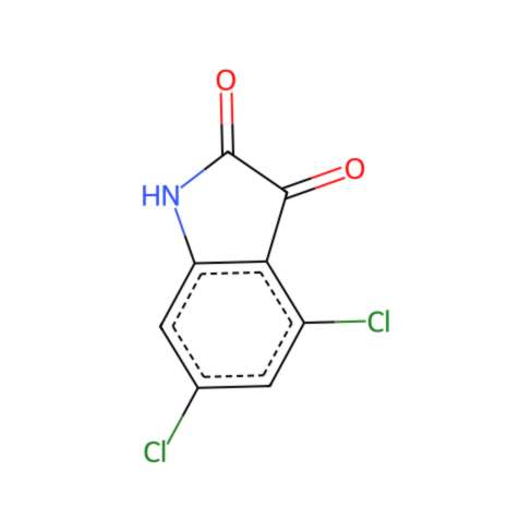 O=C1Nc2cc(Cl)cc(Cl)c2C1=O